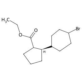 CCOC(=O)C1CCC[C@@H]1C1CCC(Br)CC1